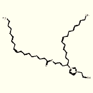 CCCCCCCC/C=C\CCCCCCCC(=O)OCCCC(CCCCC/C=C\CCCCCCCC)[n+]1ccn(CCO)c1